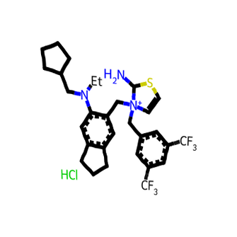 CCN(CC1CCCC1)c1cc2c(cc1C[N+]1(Cc3cc(C(F)(F)F)cc(C(F)(F)F)c3)C=CSC1N)CCC2.Cl